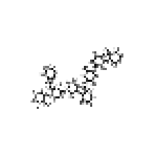 Cc1ccccc1-c1ccc(-c2ccc3c(c2)c2ccccc2n3-c2ccc(-c3ccc4oc5ccccc5c4c3)cc2)cc1Oc1ccccc1